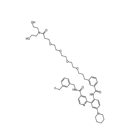 O=C(NCc1cccc(CF)c1)c1ccnc(-c2cc(N3CCCCC3)ccc2NC(=O)c2cccc(CCCOCCOCCOCCOCCC(=O)N(CCO)CCO)c2)c1